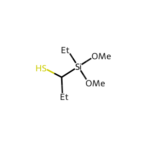 CCC(S)[Si](CC)(OC)OC